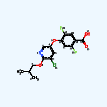 CC(C)COc1ncc(Oc2cc(F)c(C(=O)O)cc2F)cc1Cl